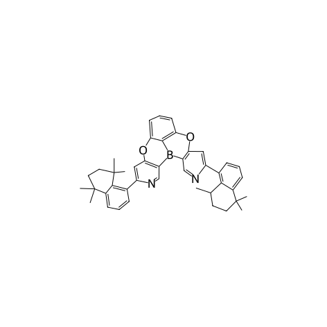 CC1CCC(C)(C)c2cccc(-c3cc4c(cn3)B3c5cnc(-c6cccc7c6C(C)(C)CCC7(C)C)cc5Oc5cccc(c53)O4)c21